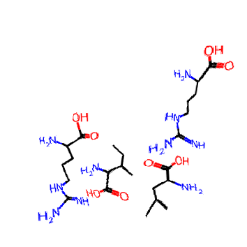 CC(C)CC(N)C(=O)O.CCC(C)C(N)C(=O)O.N=C(N)NCCCC(N)C(=O)O.N=C(N)NCCCC(N)C(=O)O